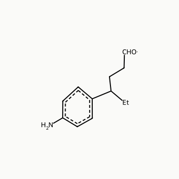 CCC(CC[C]=O)c1ccc(N)cc1